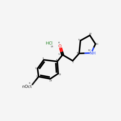 CCCCCCCCc1ccc(C(=O)CC2CCCN2)cc1.Cl